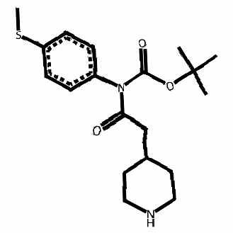 CSc1ccc(N(C(=O)CC2CCNCC2)C(=O)OC(C)(C)C)cc1